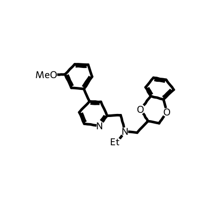 CCN(Cc1cc(-c2cccc(OC)c2)ccn1)CC1COc2ccccc2O1